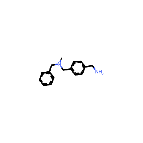 CN(Cc1ccccc1)Cc1ccc(CN)cc1